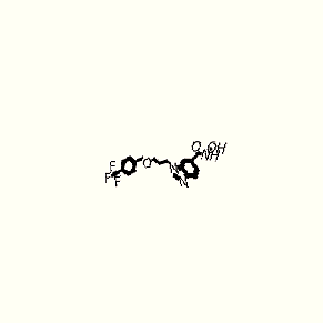 O=C(NO)c1ccc2ncn(CCCOCc3ccc(C(F)(F)F)cc3)c2c1